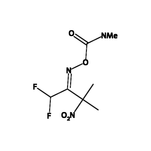 CNC(=O)ON=C(C(F)F)C(C)(C)[N+](=O)[O-]